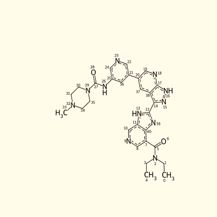 CCN(CC)C(=O)c1cncc2[nH]c(-c3n[nH]c4ncc(-c5cncc(NC(=O)N6CCN(C)CC6)c5)cc34)nc12